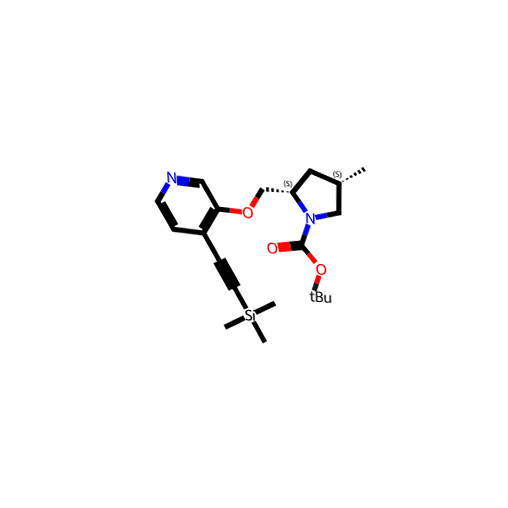 C[C@H]1C[C@@H](COc2cnccc2C#C[Si](C)(C)C)N(C(=O)OC(C)(C)C)C1